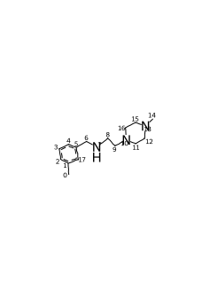 Cc1cccc(CNCCN2CCN(C)CC2)c1